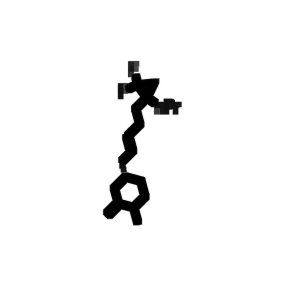 C=C1C[C@H](C/C=C/CCC2(CCC)CC2(F)F)CCC1C